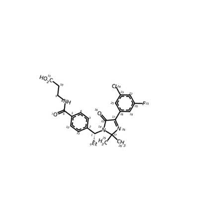 CC[C@H](c1ccc(C(=O)NCCC(=O)O)cc1)N1C(=O)C(c2cc(F)cc(Cl)c2)=NC1(C)C